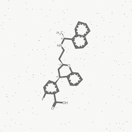 C[C@@H](NCC[C@@H]1C[C@H](c2ccc(F)c(C(=O)O)c2)c2ccccc2O1)c1cccc2ccccc12